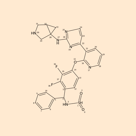 O=[SH](=O)NC(c1ccccc1)c1ccc(Oc2ncccc2-c2ccnc(NC34CNCC3C4)n2)c(F)c1F